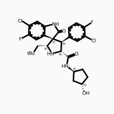 CC(C)(C)C[C@H]1N[C@@H](C(=O)N[C@H]2CC[C@H](O)C2)[C@H](c2ccc(F)c(Cl)c2)[C@@]12C(=O)Nc1cc(Cl)c(F)cc12